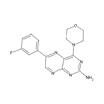 Nc1nc(N2CCOCC2)c2nc(-c3cccc(F)c3)cnc2n1